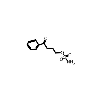 NS(=O)(=O)OCCCC(=O)c1ccccc1